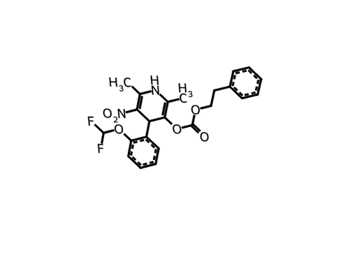 CC1=C(OC(=O)OCCc2ccccc2)C(c2ccccc2OC(F)F)C([N+](=O)[O-])=C(C)N1